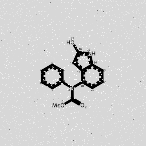 COC(=O)N(c1ccccc1)c1cccc2[nH]c(O)cc12